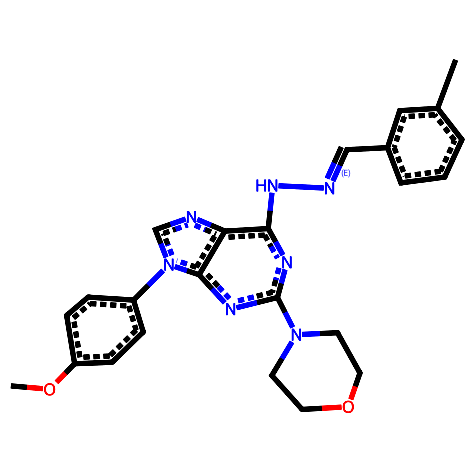 COc1ccc(-n2cnc3c(N/N=C/c4cccc(C)c4)nc(N4CCOCC4)nc32)cc1